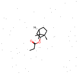 CCC(=O)O[C@H]1C[C@H]2CC[C@@]1(C)C2(C)C